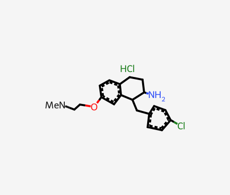 CNCCOc1ccc2c(c1)C(Cc1ccc(Cl)cc1)C(N)CC2.Cl